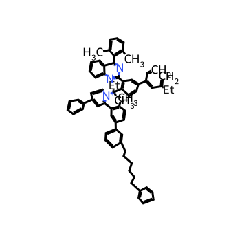 C=C/C(=C\C(=C)CC)c1ccc(C(C)(CC)[n+]2ccc(-c3ccccc3)cc2-c2cc(-c3cccc(CCCCCCc4ccccc4)c3)ccc2C)c(-c2nc(-c3c(C)cccc3C)c3ccccc3n2)c1